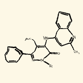 CCn1nc(-c2ccccc2)c(C(C)=O)c(Nc2cc(C)nc3ccccc23)c1=O